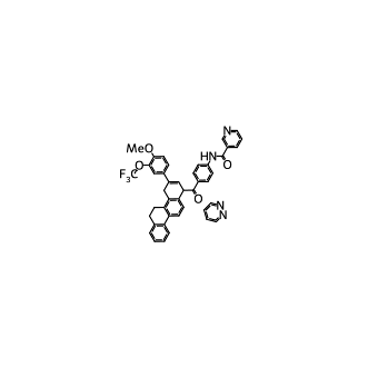 COc1ccc(C2=CC(C(=O)c3ccc(NC(=O)c4cccnc4)cc3)c3ccc4c(c3C2)CCc2ccccc2-4)cc1OC(F)(F)F.c1ccnnc1